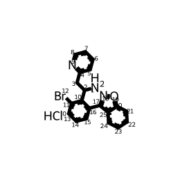 Cl.NC(Cc1ccccn1)c1c(Br)cccc1-c1noc2ccccc12